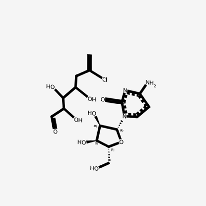 C=C(Cl)CC(O)C(O)C(O)C=O.Nc1ccn([C@@H]2O[C@H](CO)[C@@H](O)[C@H]2O)c(=O)n1